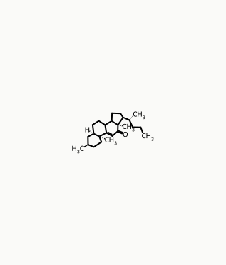 CCC[C@@H](C)C1CCC2C3CC[C@@H]4C[C@H](C)CC[C@]4(C)C3=CC(=O)[C@@]21C